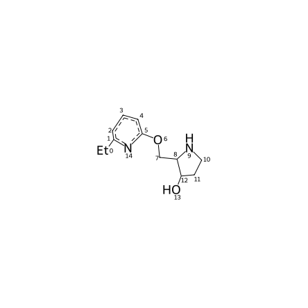 CCc1cccc(OCC2NCCC2O)n1